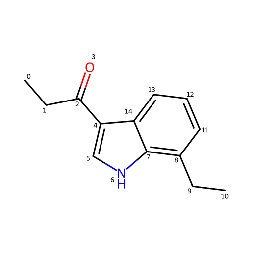 CCC(=O)c1c[nH]c2c(CC)cccc12